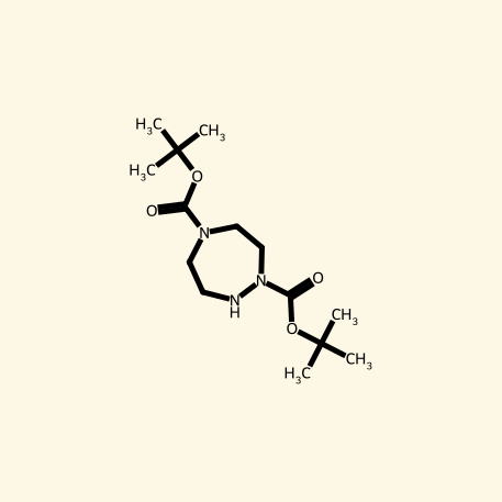 CC(C)(C)OC(=O)N1CCNN(C(=O)OC(C)(C)C)CC1